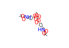 CCOC(=O)C(OC(=O)[C@H]1CC[C@H](CNC(=O)OC(C)(C)C)CC1)OC(=O)[C@H]1CC[C@H](CNC(=O)OC(C)(C)C)CC1